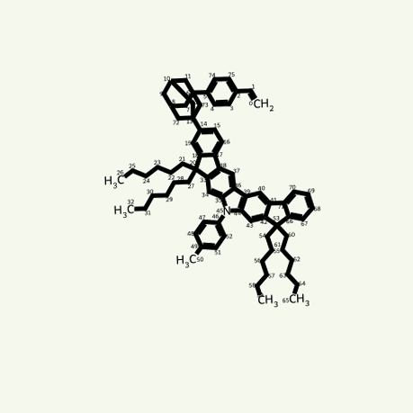 C=Cc1ccc(C23CC4CC(C2)CC(c2ccc5c(c2)C(CCCCCC)(CCCCCC)c2cc6c(cc2-5)c2cc5c(cc2n6-c2ccc(C)cc2)C(CCCCCC)(CCCCCC)c2ccccc2-5)(C4)C3)cc1